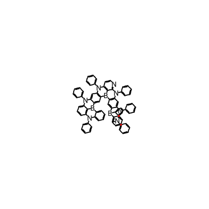 c1ccc(N2c3ccccc3B3c4cc5c(cc4N(c4ccccc4)c4cccc2c43)N(c2ccccc2)c2ccnc3c2B5c2cc4c(cc2N3c2ccccc2)N(c2ccccc2)c2cccc3c2B4c2ccccc2N3c2ccccc2)cc1